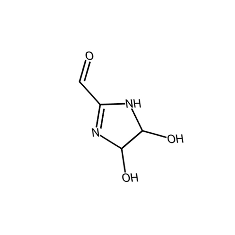 O=CC1=NC(O)C(O)N1